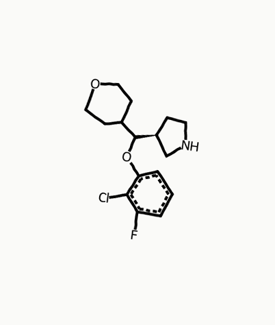 Fc1cccc(OC(C2CCOCC2)[C@H]2CCNC2)c1Cl